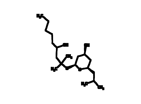 CCCCCC(O)CC(C)(C)O[C@H]1C[C@@H](O)C[C@@H](CC(C)C)O1